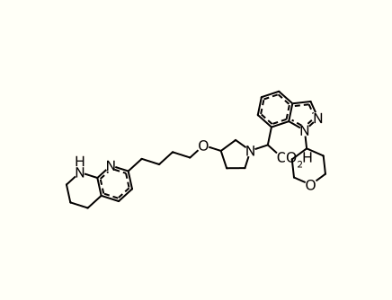 O=C(O)C(c1cccc2cnn(C3CCOCC3)c12)N1CCC(OCCCCc2ccc3c(n2)NCCC3)C1